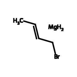 C/C=C/CBr.[MgH2]